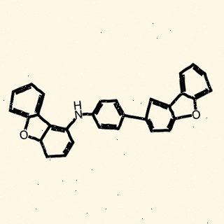 C1=CC(Nc2ccc(-c3ccc4oc5ccccc5c4c3)cc2)=C2c3ccccc3OC2C1